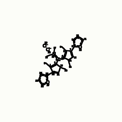 CC1=[C]([Zr+2]([C]2=C(C)C(c3ccco3)=CC2C)=[Si](C)C)C(C)C=C1c1ccco1.[Cl-].[Cl-]